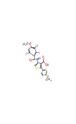 COc1ccc(-c2scc(NC(=O)c3c(I)cc(OC)c(I)c3I)c2C(=O)O)cc1